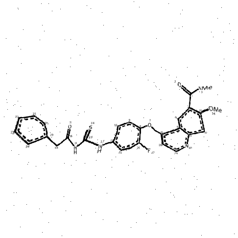 CNC(=O)c1cc2c(Oc3ccc(NC(=S)NC(=O)Cc4ccccc4)cc3F)ccnc2cc1OC